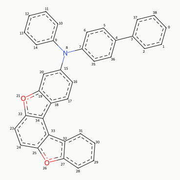 c1ccc(-c2ccc(N(c3ccccc3)c3ccc4c(c3)oc3ccc5oc6ccccc6c5c34)cc2)cc1